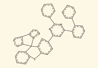 c1ccc(-c2nc(-c3ccc4c(c3)C3(c5ccccc5S4)c4ccccc4-c4ccccc43)cc(-c3ccccc3-c3ccccc3)n2)cc1